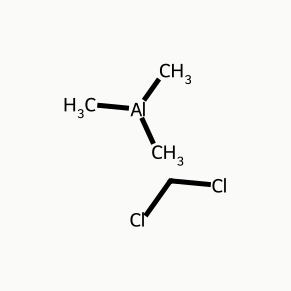 ClCCl.[CH3][Al]([CH3])[CH3]